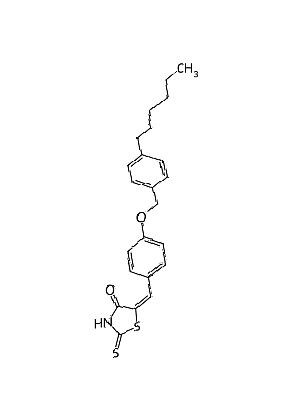 CCCCCCc1ccc(COc2ccc(C=C3SC(=S)NC3=O)cc2)cc1